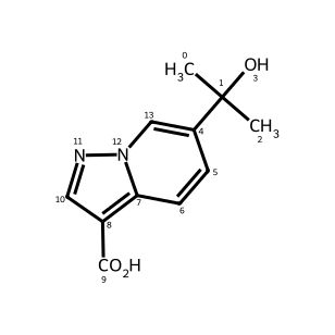 CC(C)(O)c1ccc2c(C(=O)O)cnn2c1